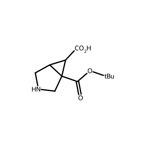 CC(C)(C)OC(=O)C12CNCC1C2C(=O)O